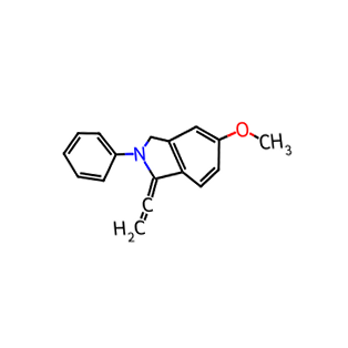 C=C=C1c2ccc(OC)cc2CN1c1ccccc1